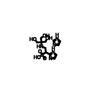 O=S(=O)(O)C(CNC(CO)(CO)CO)c1ncc[nH]1.c1c[nH]cn1